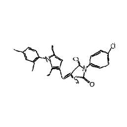 Cc1ccc(-n2c(C)cc(C=C3SC(=O)N(c4ccc(Cl)cc4)C3=O)c2C)c(C)c1